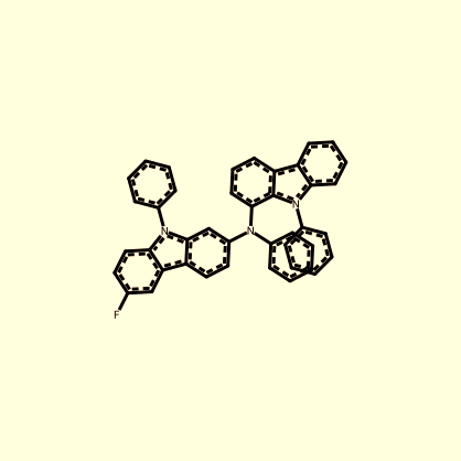 Fc1ccc2c(c1)c1ccc(N(c3ccccc3)c3cccc4c5ccccc5n(-c5ccccc5)c34)cc1n2-c1ccccc1